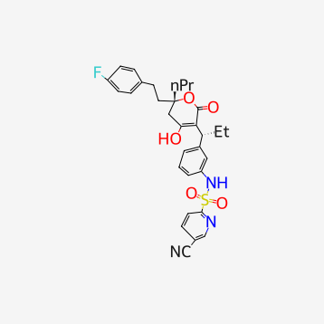 CCC[C@]1(CCc2ccc(F)cc2)CC(O)=C([C@H](CC)c2cccc(NS(=O)(=O)c3ccc(C#N)cn3)c2)C(=O)O1